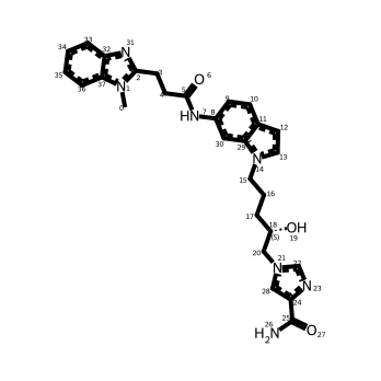 Cn1c(CCC(=O)Nc2ccc3ccn(CCC[C@H](O)Cn4cnc(C(N)=O)c4)c3c2)nc2ccccc21